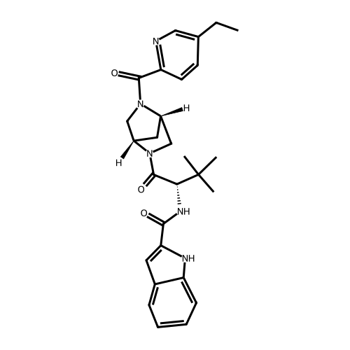 CCc1ccc(C(=O)N2C[C@@H]3C[C@H]2CN3C(=O)[C@@H](NC(=O)c2cc3ccccc3[nH]2)C(C)(C)C)nc1